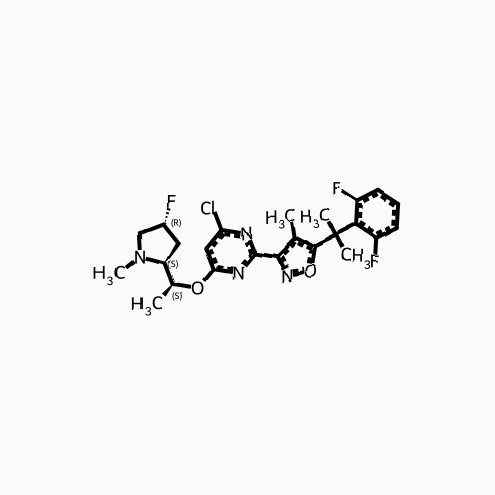 Cc1c(-c2nc(Cl)cc(O[C@@H](C)[C@@H]3C[C@@H](F)CN3C)n2)noc1C(C)(C)c1c(F)cccc1F